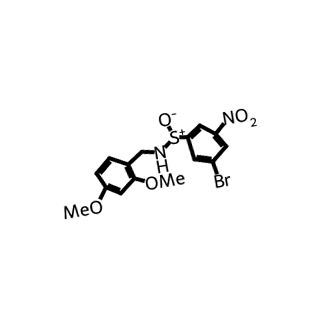 COc1ccc(CN[S+]([O-])c2cc(Br)cc([N+](=O)[O-])c2)c(OC)c1